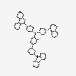 Cc1cc(-c2cccc(-n3c4ccccc4c4ccccc43)c2)ccc1N(c1ccc(-c2cccc3ccccc23)cc1)c1ccc(-c2cc3ccccc3c3ccccc23)cc1